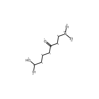 CCC(O)CCCC(=O)CCN(CC)CC